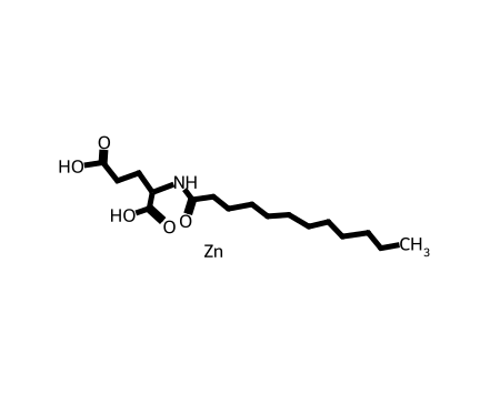 CCCCCCCCCCCC(=O)NC(CCC(=O)O)C(=O)O.[Zn]